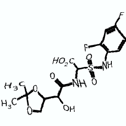 CC1(C)OCC(C(O)C(=O)NC(C(=O)O)S(=O)(=O)Nc2ccc(F)cc2F)O1